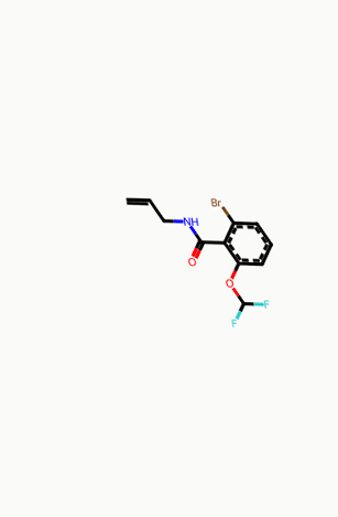 C=CCNC(=O)c1c(Br)cccc1OC(F)F